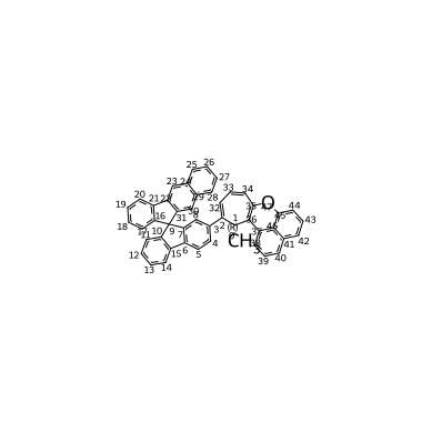 C[C@@H]1C(c2ccc3c(c2)C2(c4ccccc4-3)c3ccccc3-c3cc4ccccc4cc32)=CC=CC2=C1c1cccc3cccc(c13)O2